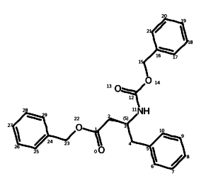 O=C(C[C@H](Cc1ccccc1)NC(=O)OCc1ccccc1)OCc1ccccc1